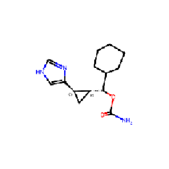 NC(=O)OC(C1CCCCC1)[C@@H]1C[C@H]1c1c[nH]cn1